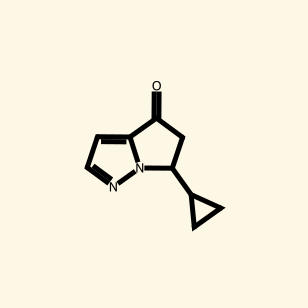 O=C1CC(C2CC2)n2nccc21